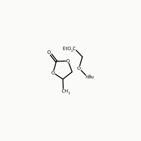 CC1COC(=O)O1.CCCCOCC(=O)OCC